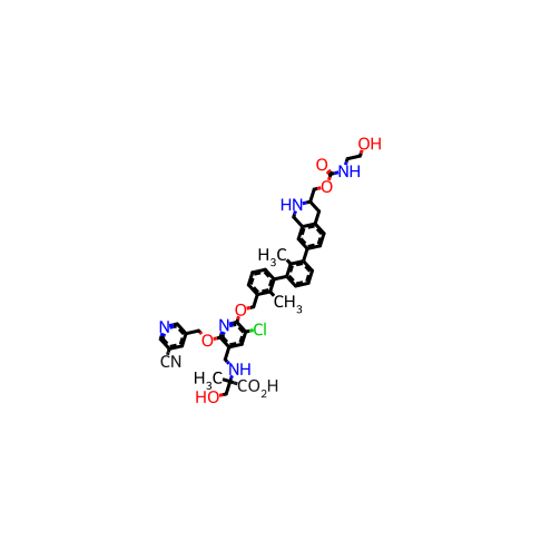 Cc1c(COc2nc(OCc3cncc(C#N)c3)c(CNC(C)(CO)C(=O)O)cc2Cl)cccc1-c1cccc(-c2ccc3c(c2)CNC(COC(=O)NCCO)C3)c1C